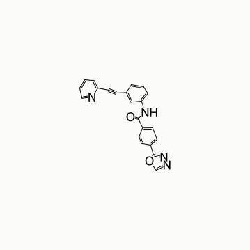 O=C(Nc1cccc(C#Cc2ccccn2)c1)c1ccc(-c2nnco2)cc1